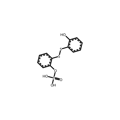 O=P(O)(O)Oc1ccccc1SSc1ccccc1O